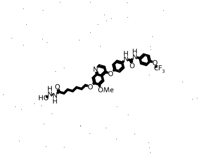 COc1cc2c(Oc3ccc(NC(=O)Nc4ccc(OC(F)(F)F)cc4)cc3)ccnc2cc1OCCCCCCC(=O)NNO